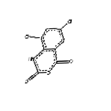 O=c1[nH]c2c(Cl)cc(Cl)cc2c(=O)o1